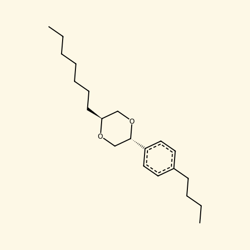 CCCCCCC[C@H]1CO[C@H](c2ccc(CCCC)cc2)CO1